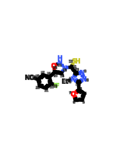 CCn1c(-c2ccco2)nnc1C(S)N1C=C(c2cc(C#N)ccc2F)ON1